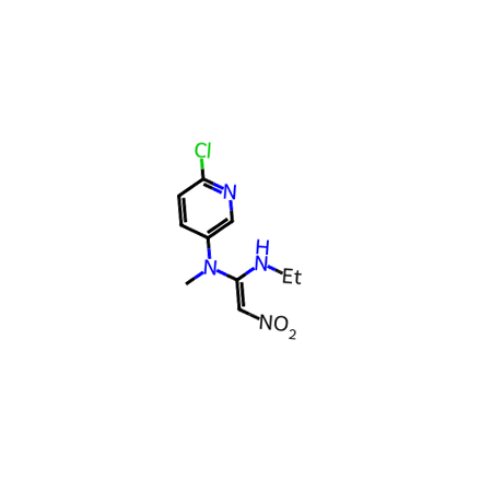 CCN/C(=C\[N+](=O)[O-])N(C)c1ccc(Cl)nc1